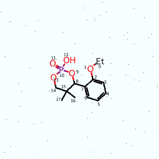 CCOc1ccccc1C1OP(=O)(O)OCC1(C)C